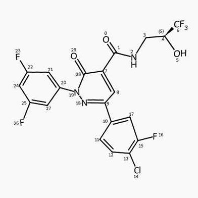 O=C(NC[C@H](O)C(F)(F)F)c1cc(-c2ccc(Cl)c(F)c2)nn(-c2cc(F)cc(F)c2)c1=O